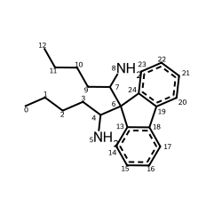 CCCCC(N)C1(C(N)CCCC)c2ccccc2-c2ccccc21